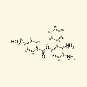 Nc1ccc(OC(=O)c2ccc(C(=O)O)cc2)c(-c2ccccc2)c1N